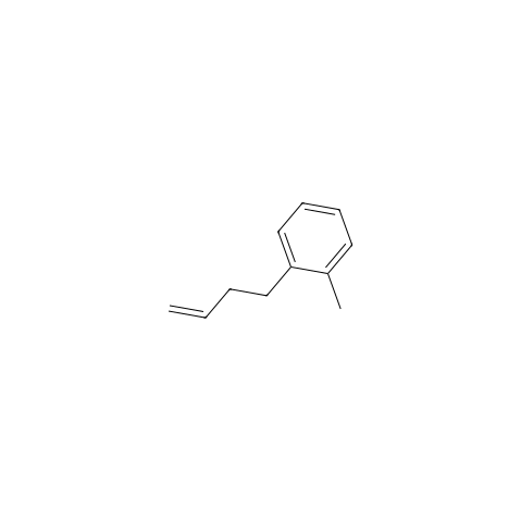 C=CCCc1ccccc1C